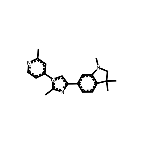 Cc1cc(-n2cc(-c3ccc4c(c3)N(C)CC4(C)C)nc2C)ccn1